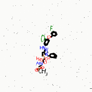 CS(=O)(=O)CCNC(=O)C(O)C(O)S1=C2C(=C(Nc3ccc(OCc4cccc(F)c4)c(Cl)c3)N=CN2Cc2ccccc2)C=C1